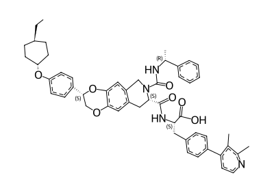 CC[C@H]1CC[C@H](Oc2ccc([C@H]3COc4cc5c(cc4O3)CN(C(=O)N[C@H](C)c3ccccc3)[C@H](C(=O)N[C@@H](Cc3ccc(-c4ccnc(C)c4C)cc3)C(=O)O)C5)cc2)CC1